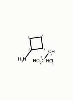 Cl.NC1CCC1.O=C(O)O